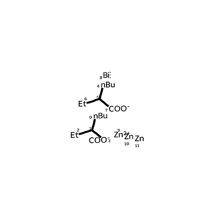 CCCCC(CC)C(=O)[O-].CCCCC(CC)C(=O)[O-].[Bi].[Zn+2].[Zn].[Zn]